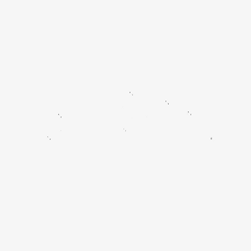 CC(C)(C)S(=O)(=O)Nc1ccc(C2C(C#N)c3ccc(Oc4ncccn4)cc3N2C2CCC2)cn1